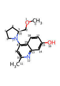 COC[C@@H]1CCCN1c1cc(C)nc2cc(O)ccc12